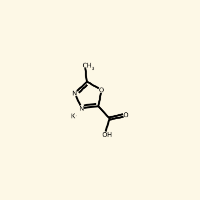 Cc1nnc(C(=O)O)o1.[K]